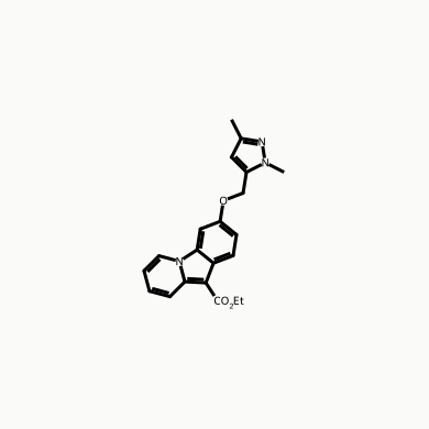 CCOC(=O)c1c2ccc(OCc3cc(C)nn3C)cc2n2ccccc12